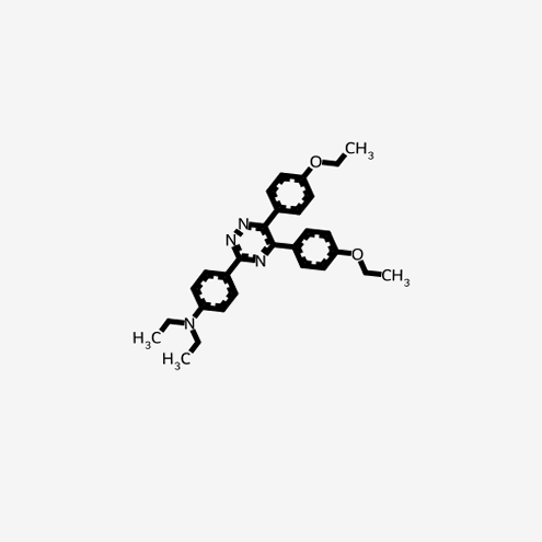 CCOc1ccc(-c2nnc(-c3ccc(N(CC)CC)cc3)nc2-c2ccc(OCC)cc2)cc1